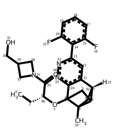 CC[C@@H](OC12CC3[C@H](CC31C)c1cc(-c3c(F)cccc3F)nnc12)C(=O)N1CC(CO)C1